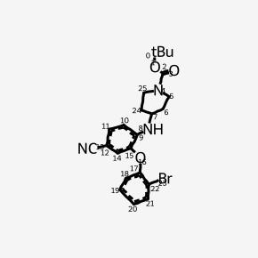 CC(C)(C)OC(=O)N1CCC(Nc2ccc(C#N)cc2Oc2ccccc2Br)CC1